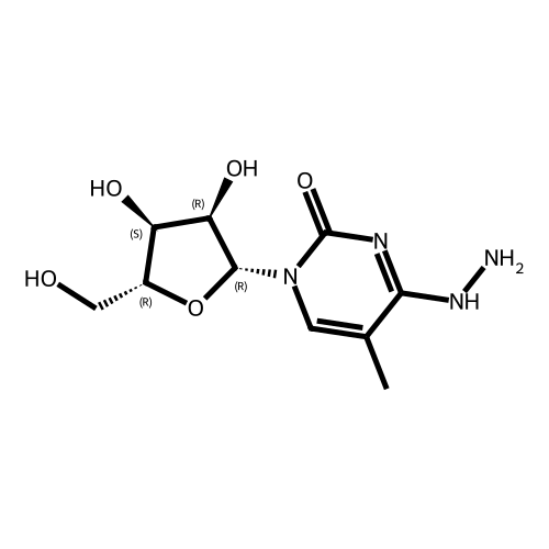 Cc1cn([C@@H]2O[C@H](CO)[C@@H](O)[C@H]2O)c(=O)nc1NN